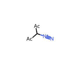 CC(=O)C([N+]#N)C(C)=O